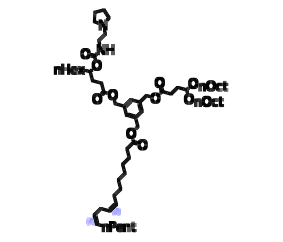 CCCCC/C=C\C/C=C\CCCCCCCC(=O)OCc1cc(COC(=O)CCC(CCCCCC)OC(=O)NCCN2CCCC2)cc(COC(=O)CCC(OCCCCCCCC)OCCCCCCCC)c1